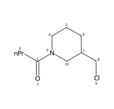 CCCC(=O)N1CCCC(CCl)C1